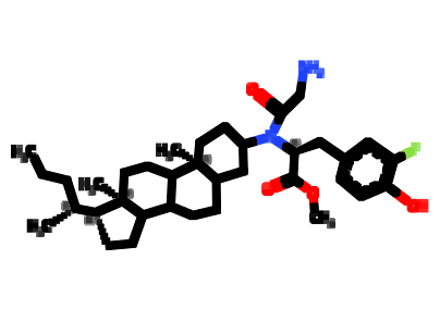 CCC[C@@H](C)[C@H]1CCC2C3CCC4CC(N(C(=O)CN)[C@@H](Cc5ccc(O)c(F)c5)C(=O)OC)CC[C@]4(C)C3CC[C@@]21C